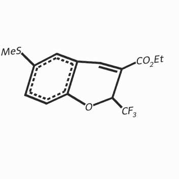 CCOC(=O)C1=Cc2cc(SC)ccc2OC1C(F)(F)F